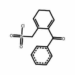 O=C(C1=CCCC=C1CS(=O)(=O)Cl)c1ccccc1